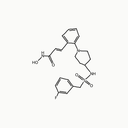 O=C(C=Cc1ccccc1N1CCC(NS(=O)(=O)Cc2cccc(F)c2)CC1)NO